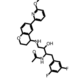 COc1cccc(-c2ccc3c(c2)C(NCC(O)C(Cc2cc(F)cc(F)c2)NC(C)=O)CCO3)n1